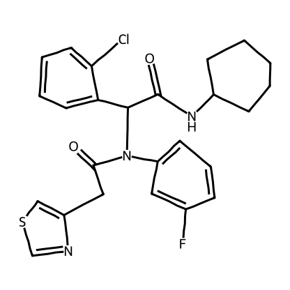 O=C(NC1CCCCC1)C(c1ccccc1Cl)N(C(=O)Cc1cscn1)c1cccc(F)c1